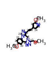 COCc1nnc2n1Cc1c(C#Cc3ccnc(OC)c3)ncn1-c1ccc(OC)cc1-2